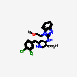 CCOCCn1c(NC2CC(Cc3ccc(Cl)c(Cl)c3)NCC2C(=O)O)nc2ccccc21